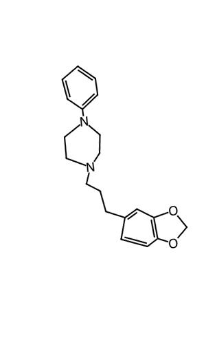 c1ccc(N2CCN(CCCc3ccc4c(c3)OCO4)CC2)cc1